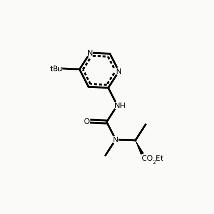 CCOC(=O)[C@H](C)N(C)C(=O)Nc1cc(C(C)(C)C)ncn1